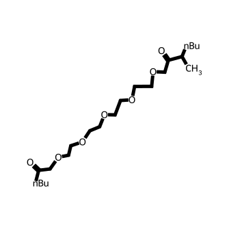 CCCCC(=O)COCCOCCOCCOCCOCC(=O)C(C)CCCC